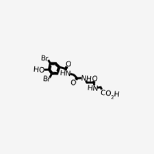 O=C(O)CNC(=O)CNC(=O)CNC(=O)c1cc(Br)c(O)c(Br)c1